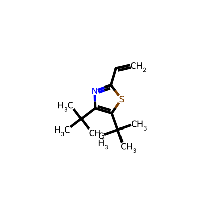 C=Cc1nc(C(C)(C)C)c(C(C)(C)C)s1